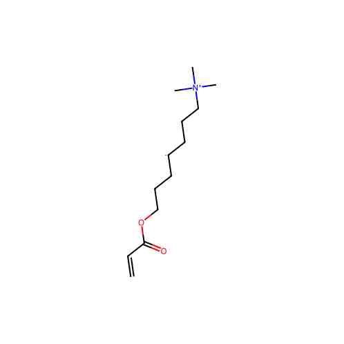 C=CC(=O)OCCC[CH]CCC[N+](C)(C)C